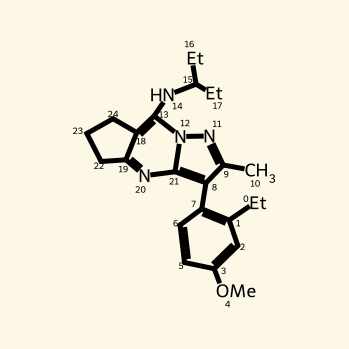 CCc1cc(OC)ccc1-c1c(C)nn2c(NC(CC)CC)c3c(nc12)CCC3